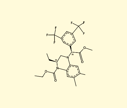 CCOC(=O)N1c2cc(C)c(C)cc2N([C@H](C(=O)OC)c2cc(C(F)(F)F)cc(C(F)(F)F)c2)C[C@@H]1CC